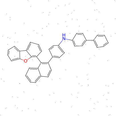 c1ccc(-c2ccc(Nc3ccc(-c4ccc5ccccc5c4-c4cccc5c4oc4ccccc45)cc3)cc2)cc1